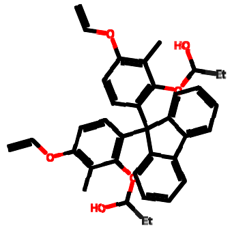 C=COc1ccc(C2(c3ccc(OC=C)c(C)c3OC(O)CC)c3ccccc3-c3ccccc32)c(OC(O)CC)c1C